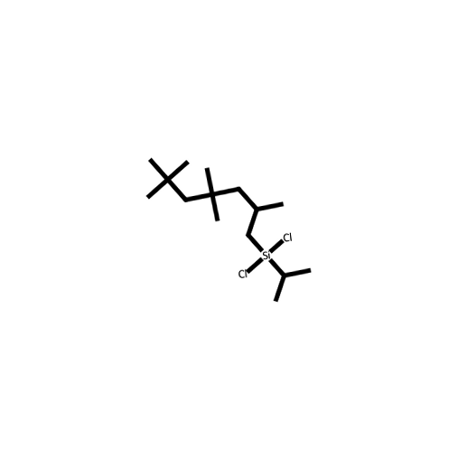 CC(CC(C)(C)CC(C)(C)C)C[Si](Cl)(Cl)C(C)C